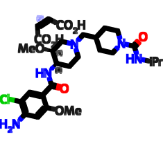 COc1cc(N)c(Cl)cc1C(=O)N[C@@H]1CCN(CC2CCN(C(=O)NC(C)C)CC2)C[C@@H]1OC.O=C(O)/C=C\C(=O)O